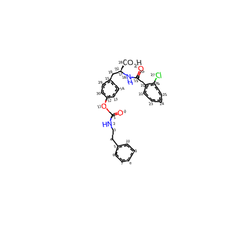 O=C(NCCc1ccccc1)Oc1ccc(C[C@H](NC(=O)c2ccccc2Cl)C(=O)O)cc1